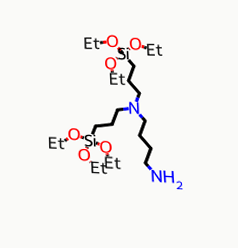 CCO[Si](CCCN(CCCCN)CCC[Si](OCC)(OCC)OCC)(OCC)OCC